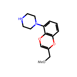 COCC1=COc2c(cccc2N2CCNCC2)O1